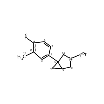 CCCN1CC2CC2(c2ccc(F)c(C)c2)C1